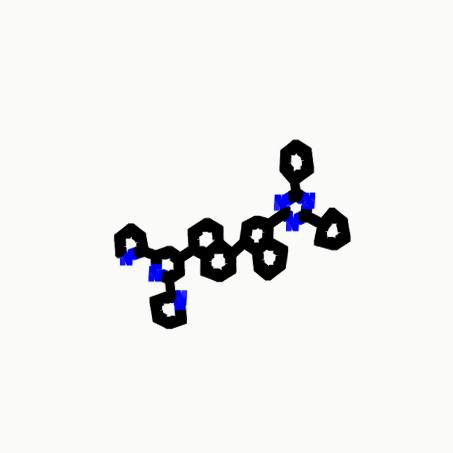 c1ccc(-c2nc(-c3ccccc3)nc(-c3ccc(-c4cccc5c(-c6cc(-c7ccccn7)nc(-c7ccccn7)c6)cccc45)c4ccccc34)n2)cc1